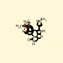 COC(=O)N1CCC(N2C(=O)NCc3cnc4[nH]c(-c5cnn(C)c5)c(-c5ccc6c(cnn6C(C)C)c5)c4c32)CC1